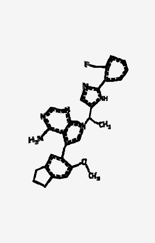 COc1cc2c(cc1-c1cn(C(C)c3cnc(-c4ccccc4F)[nH]3)c3ncnc(N)c13)CCC2